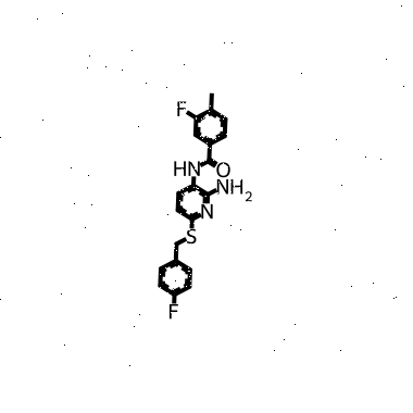 Cc1ccc(C(=O)Nc2ccc(SCc3ccc(F)cc3)nc2N)cc1F